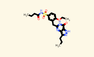 CCCC(=O)NS(=O)(=O)c1ccc(OCC)c(Cc2nc3c(CCC)n[nH]c3c(=O)[nH]2)c1